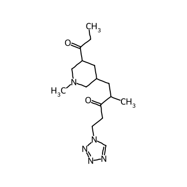 CCC(=O)C1CC(CC(C)C(=O)CCn2cnnn2)CN(C)C1